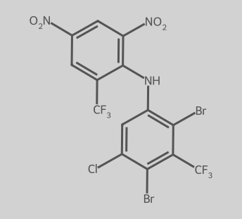 O=[N+]([O-])c1cc([N+](=O)[O-])c(Nc2cc(Cl)c(Br)c(C(F)(F)F)c2Br)c(C(F)(F)F)c1